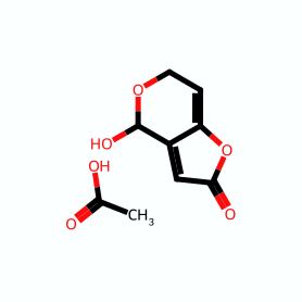 CC(=O)O.O=C1C=C2C(=CCOC2O)O1